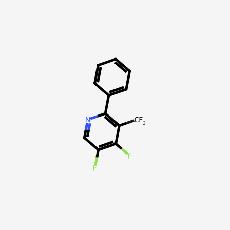 Fc1cnc(-c2ccccc2)c(C(F)(F)F)c1F